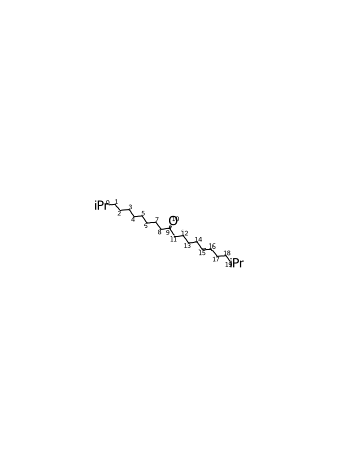 CC(C)CCCCCCCCC(=O)CCCCCCCCC(C)C